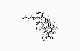 CCCCOc1cccc2c1C(=O)C1=C(O)[C@]3(O)C(=O)C(C(N)=O)=C(O)[C@@H](N(C)C)[C@@H]3C[C@@H]1[C@H]2C